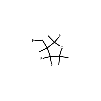 CC1(C)OC(C)(F)C(C)(CF)C1(F)F